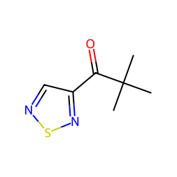 CC(C)(C)C(=O)c1cnsn1